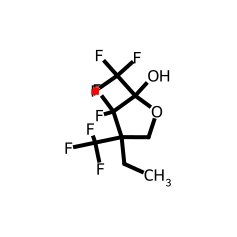 CCC1(C(F)(F)F)COC(O)(C(F)(F)F)C1(F)F